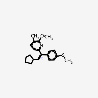 COc1nc(/C(=C\C2CCCC2)c2ccc(SC)cc2)ccc1C